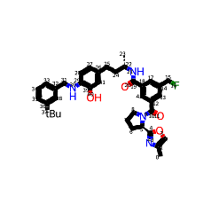 Cc1coc([C@H]2CCCN2C(=O)c2cc(CF)cc(C(=O)N[C@@H](C)CCc3ccc(NCc4cccc(C(C)(C)C)c4)c(O)c3)c2)n1